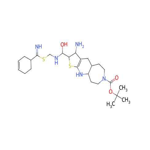 CC(C)(C)OC(=O)N1CCC2CC3=C(NC2CC1)SC(C(O)NCSC(=N)C1CC=CCC1)C3N